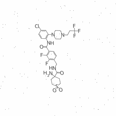 NC1(C(=O)NCc2ccc(C(=O)Nc3ccc(Cl)cc3N3CCN(CCC(F)(F)F)CC3)c(F)c2F)CCS(=O)(=O)CC1